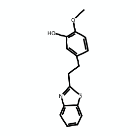 COc1ccc(CCc2nc3ccccc3s2)cc1O